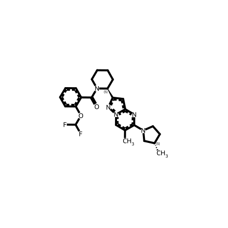 Cc1cn2nc([C@@H]3CCCCN3C(=O)c3ccccc3OC(F)F)cc2nc1N1CC[C@H](C)C1